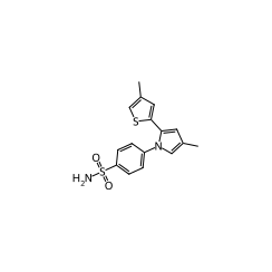 Cc1csc(-c2cc(C)cn2-c2ccc(S(N)(=O)=O)cc2)c1